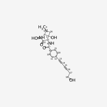 CN1CC(O)(C(NC(=O)c2ccc(C#CC#CCCO)cc2)C(=O)NO)C1